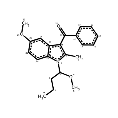 CCCC(OC)n1c(C)c(C(=O)c2ccccc2)c2cc(OC)ccc21